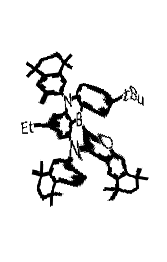 CCc1cc2c3c(c1)N(c1ccc4c(c1)C(C)(C)CCC4(C)C)c1c(oc4cc5c(cc14)C(C)(C)CCC5(C)C)B3c1cc(C(C)(C)C)ccc1N2c1cc2c(cc1C)C(C)(C)CCC2(C)C